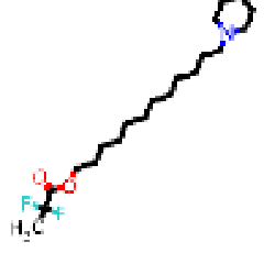 CC(F)(F)C(=O)OCCCCCCCCCCCCN1CCCCC1